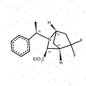 CCOC(=O)[C@@H]1[C@@H]2C[C@@H](CC2(F)F)N1[C@H](C)c1ccccc1